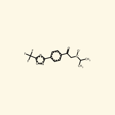 CC(C)[S+]([O-])CC(=O)c1ccc(-c2noc(C(F)(F)F)n2)cc1